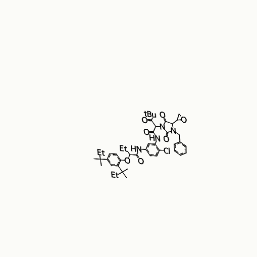 CCC(Oc1ccc(C(C)(C)CC)cc1C(C)(C)CC)C(=O)Nc1ccc(Cl)c(NC(=O)C(C(=O)C(C)(C)C)N2C(=O)C(C3CO3)N(Cc3ccccc3)C2=O)c1